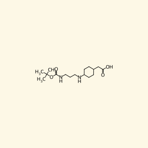 CC(C)(C)OC(=O)NCCCNC1CCC(CC(=O)O)CC1